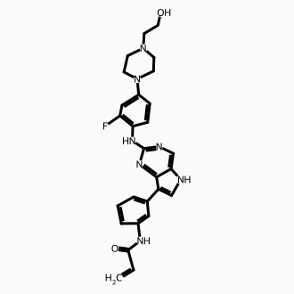 C=CC(=O)Nc1cccc(-c2c[nH]c3cnc(Nc4ccc(N5CCN(CCO)CC5)cc4F)nc23)c1